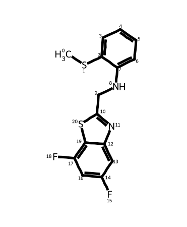 CSc1ccccc1NCc1nc2cc(F)cc(F)c2s1